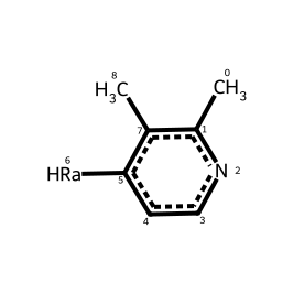 Cc1ncc[c]([RaH])c1C